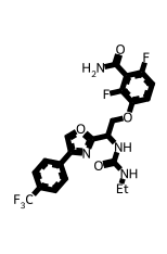 CCNC(=O)NC(COc1ccc(F)c(C(N)=O)c1F)c1nc(-c2ccc(C(F)(F)F)cc2)co1